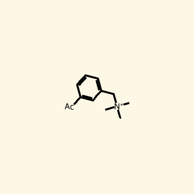 CC(=O)c1cccc(C[N+](C)(C)C)c1